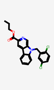 CCCOC(=O)c1cc2c3ccccc3n(Cc3cc(Cl)ccc3Cl)c2cn1